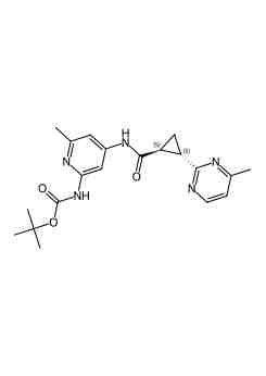 Cc1cc(NC(=O)[C@H]2C[C@@H]2c2nccc(C)n2)cc(NC(=O)OC(C)(C)C)n1